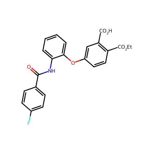 CCOC(=O)c1ccc(Oc2ccccc2NC(=O)c2ccc(F)cc2)cc1C(=O)O